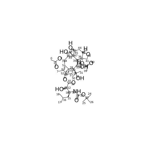 CC(=O)O[C@H]1C2=C(C)[C@@H](OC(=O)[C@H](O)[C@H](CC(C)C)NC(=O)OC(C)(C)C)C[C@@](C(C)(C)O)([C@@H](O)[C@@H]3[C@]4(OC(C)=O)CO[C@@H]4C[C@H](O)[C@@]3(C)[C@H]1O)C2(C)C